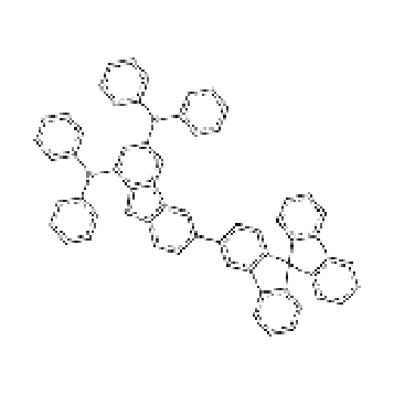 c1ccc(N(c2ccccc2)c2cc(N(c3ccccc3)c3ccccc3)c3sc4ccc(-c5ccc6c(c5)-c5ccccc5C65c6ccccc6-c6ccccc65)cc4c3c2)cc1